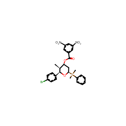 C[C@H]1[C@@H](OC(=O)c2cc([N+](=O)[O-])cc([N+](=O)[O-])c2)C[C@@H](S(C)(C)c2ccccc2)O[C@H]1c1ccc(Br)cc1